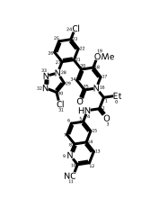 CCC(C(=O)Nc1ccc2nc(C#N)ccc2c1)n1cc(OC)c(-c2cc(Cl)ccc2-n2cc(Cl)nn2)cc1=O